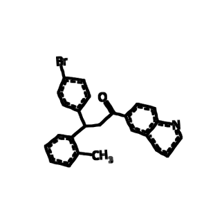 Cc1ccccc1C(CC(=O)c1ccc2ncccc2c1)c1ccc(Br)cc1